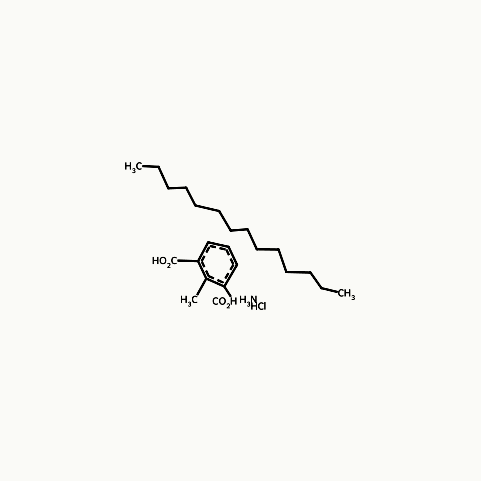 CCCCCCCCCCCCCC.Cc1c(C(=O)O)cccc1C(=O)O.Cl.N